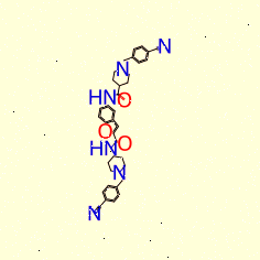 N#Cc1ccc(CN2CCC(NC(=O)c3cc4cc(NC(=O)C5CCN(Cc6ccc(C#N)cc6)CC5)ccc4o3)CC2)cc1